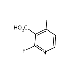 O=C(O)c1c(I)ccnc1F